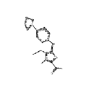 CCn1c(C)c(C(C)=O)sc1=Nc1ccc(-n2ccnc2)cc1